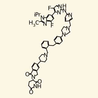 Cc1nc2c(F)cc(-c3nc(Nc4ccc(CN5CCN(c6ccc(Cc7ccccc7CN7CCC(c8ccc9c(c8)CN(C8CCC(=O)NC8=O)C9=O)CC7)cc6)CC5)cn4)ncc3F)cc2n1C(C)C